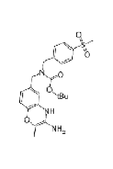 CC1=C(N)Nc2cc(CN(Cc3ccc(S(C)(=O)=O)cc3)C(=O)OC(C)(C)C)ccc2O1